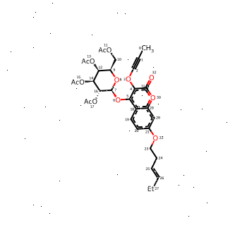 CC#COc1c(O[C@@H]2O[C@H](COC(C)=O)[C@H](OC(C)=O)[C@H](OC(C)=O)[C@H]2OC(C)=O)c2ccc(OCCC=CCC)cc2oc1=O